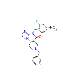 O=C1C2=C(CCN(Cc3cccc(F)c3)C2)N2CCN=C2N1Cc1ccc([N+](=O)[O-])cc1F